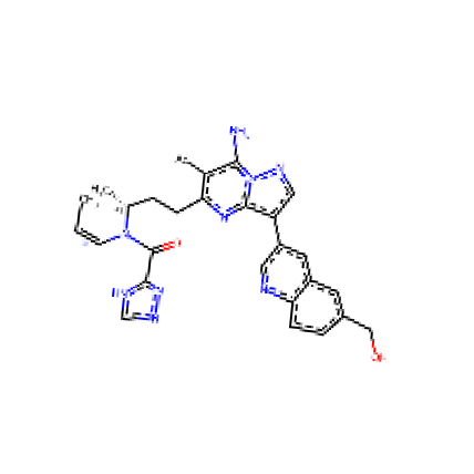 C/C=C\N(C(=O)c1nnc[nH]1)[C@H](C)CCc1nc2c(-c3cnc4ccc(CO)cc4c3)cnn2c(N)c1C(C)=O